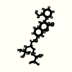 C=C(C)C(=O)OCC(COc1ccc2cc(-c3ccccc3CC)c(=O)oc2c1)CC(F)(F)F